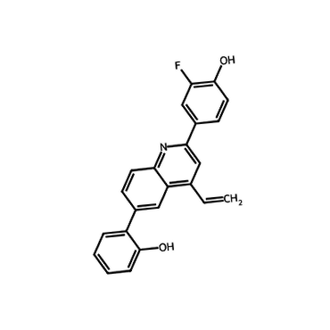 C=Cc1cc(-c2ccc(O)c(F)c2)nc2ccc(-c3ccccc3O)cc12